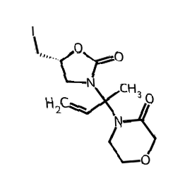 C=CC(C)(N1CCOCC1=O)N1C[C@H](CI)OC1=O